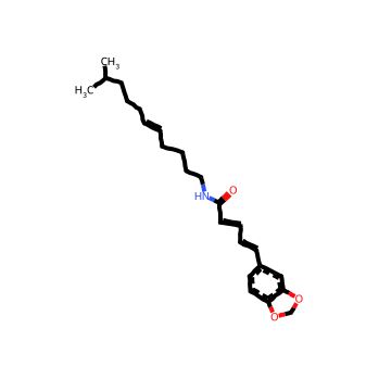 CC(C)CCC/C=C/CCCCNC(=O)/C=C/C=C/c1ccc2c(c1)OCO2